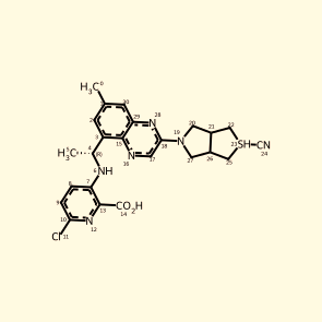 Cc1cc([C@@H](C)Nc2ccc(Cl)nc2C(=O)O)c2ncc(N3CC4C[SH](C#N)CC4C3)nc2c1